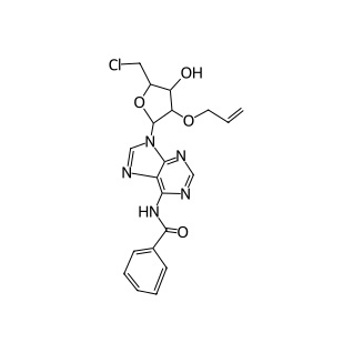 C=CCOC1C(O)C(CCl)OC1n1cnc2c(NC(=O)c3ccccc3)ncnc21